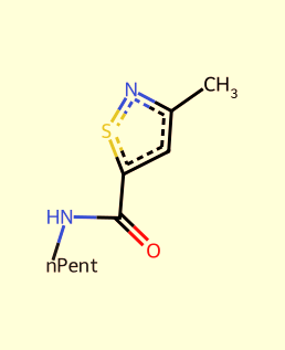 CCCCCNC(=O)c1cc(C)ns1